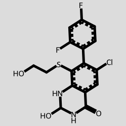 O=C1NC(O)Nc2c1cc(Cl)c(-c1ccc(F)cc1F)c2SCCO